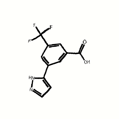 O=C(O)c1cc(-c2ccn[nH]2)cc(C(F)(F)F)c1